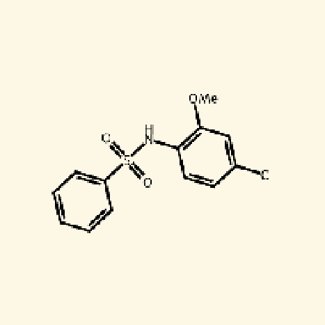 COc1cc(Cl)ccc1NS(=O)(=O)c1ccccc1